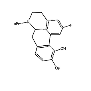 CCCN1CCc2cc(F)cc3c2C1Cc1ccc(O)c(O)c1-3